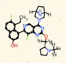 [2H]C([2H])(Oc1nc(N2C[C@H]3CC[C@@H](C2)N3)c2cnc(-c3cc(O)cc4ccc(F)c(CC)c34)c(F)c2n1)[C@@H]1CCCN1C([2H])([2H])[2H]